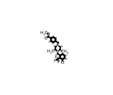 COC(=O)c1ccc(CN2C[C@@H](C)N(Cc3cccc(Cl)c3C(F)(F)F)[C@@H](C)C2)cc1